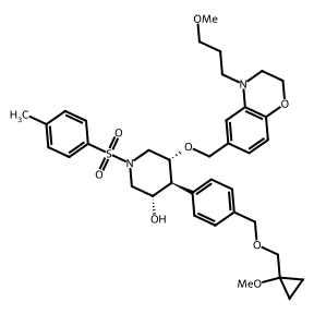 COCCCN1CCOc2ccc(CO[C@H]3CN(S(=O)(=O)c4ccc(C)cc4)C[C@@H](O)[C@@H]3c3ccc(COCC4(OC)CC4)cc3)cc21